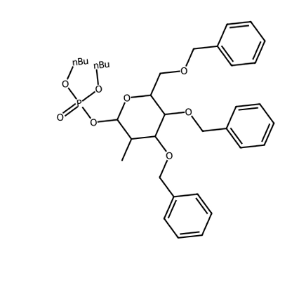 CCCCOP(=O)(OCCCC)OC1OC(COCc2ccccc2)C(OCc2ccccc2)C(OCc2ccccc2)C1C